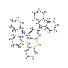 c1ccc2c(c1)Sc1cc(-n3c4ccccc4c4ccccc43)cc3c1B2c1cccc2c4ccccc4n-3c12